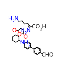 NC1CCCCC1.NCCCC[C@H](N)C(=O)O.O=C1CCC(=O)O1.O=Cc1ccc(-c2ccccc2)cc1